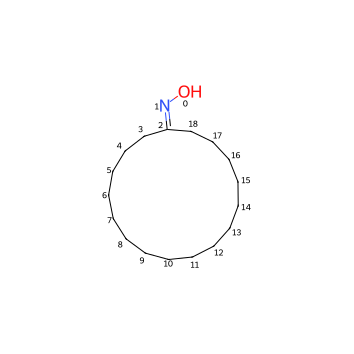 ON=C1CCCCCCCCCCCCCCCC1